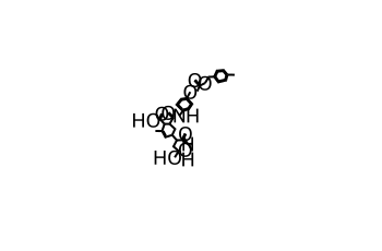 CNC(=O)C(CC(=O)O)C1C=C(C)C(C(=O)O)C(C(=O)Nc2ccc(OCC(=O)OCc3ccc(C)cc3)cc2)C1